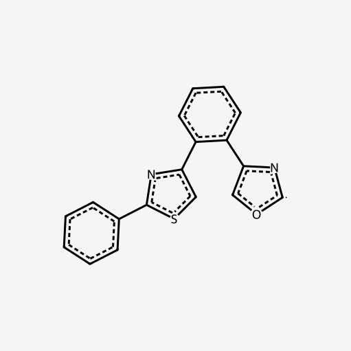 [c]1nc(-c2ccccc2-c2csc(-c3ccccc3)n2)co1